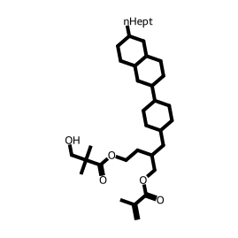 C=C(C)C(=O)OCC(CCOC(=O)C(C)(C)CO)CC1CCC(C2CCC3CC(CCCCCCC)CCC3C2)CC1